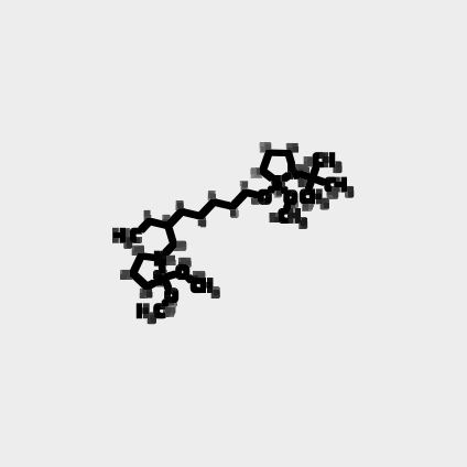 CCC(CCCCCO[Si]1(OC)CCCN1C(C)(C)C)CN1CCC[Si]1(OC)OC